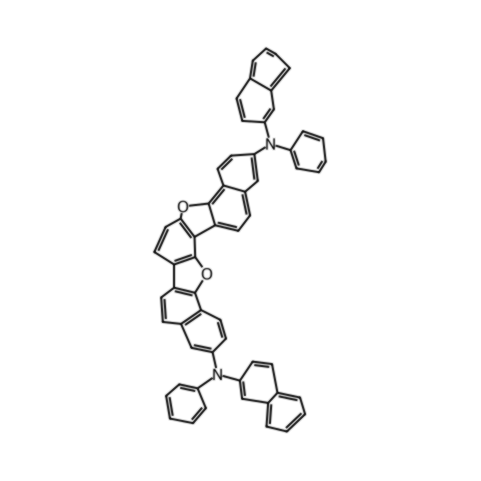 c1ccc(N(c2ccc3ccccc3c2)c2ccc3c(ccc4c5ccc6oc7c8ccc(N(c9ccccc9)c9ccc%10ccccc%10c9)cc8ccc7c6c5oc34)c2)cc1